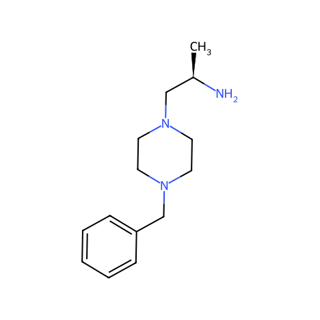 C[C@@H](N)CN1CCN(Cc2ccccc2)CC1